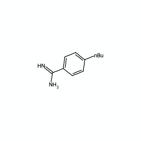 CCCCc1ccc(C(=N)N)cc1